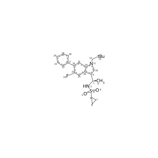 C[C@@H](NS(=O)(=O)C1CC1)c1cn(CC(C)(C)C)c2cc(-c3ccccc3)c(F)cc12